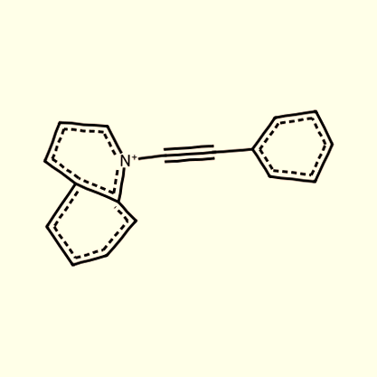 C(#C[n+]1cccc2ccccc21)c1ccccc1